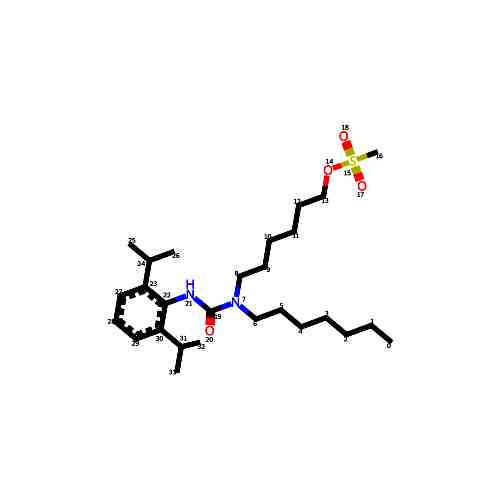 CCCCCCCN(CCCCCCOS(C)(=O)=O)C(=O)Nc1c(C(C)C)cccc1C(C)C